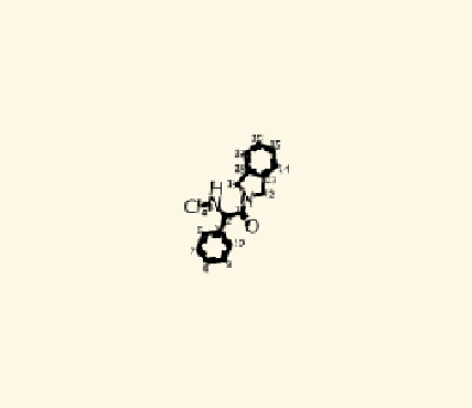 O=C(C(NCl)c1ccccc1)N1Cc2ccccc2C1